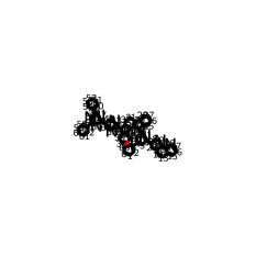 c1ccc(-c2cc(-c3cnc4c(ccc5cccnc54)c3)nc(-n3c4ccccc4c4ccc5c(c6ccccc6n5-c5ncc(-c6nc(-c7ccccc7)nc(-c7ccccc7)n6)cn5)c43)n2)cc1